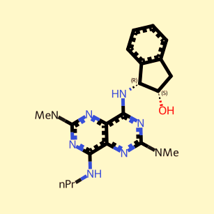 CCCNc1nc(NC)nc2c(N[C@@H]3c4ccccc4C[C@@H]3O)nc(NC)nc12